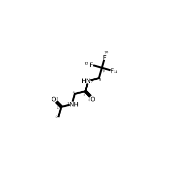 CC(=O)NCC(=O)NCC(F)(F)F